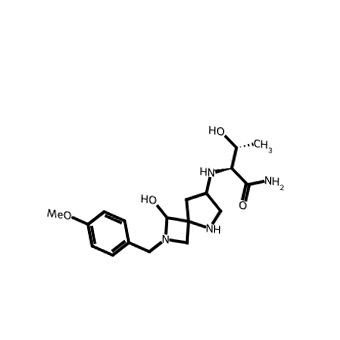 COc1ccc(CN2CC3(CC(N[C@H](C(N)=O)[C@@H](C)O)CN3)C2O)cc1